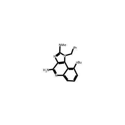 CCCCc1cccc2nc(N)c3nc(NC)n(CC(C)C)c3c12